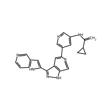 C=C(Nc1cncc(-c2cc3c(-c4cc5cnccc5[nH]4)n[nH]c3cn2)c1)C1CC1